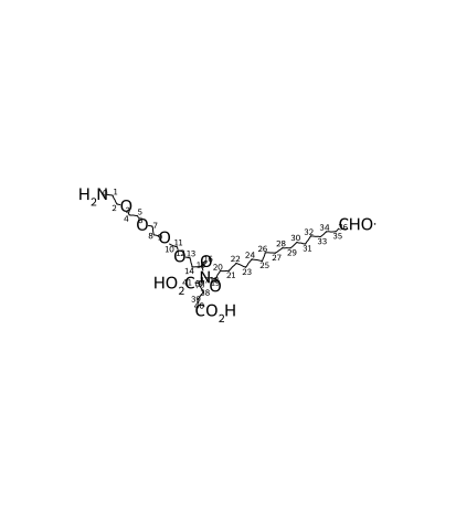 NCCOCCOCCOCCOCCC(=O)N(C(=O)CCCCCCCCCCCCCCCC[C]=O)[C@@H](CCC(=O)O)C(=O)O